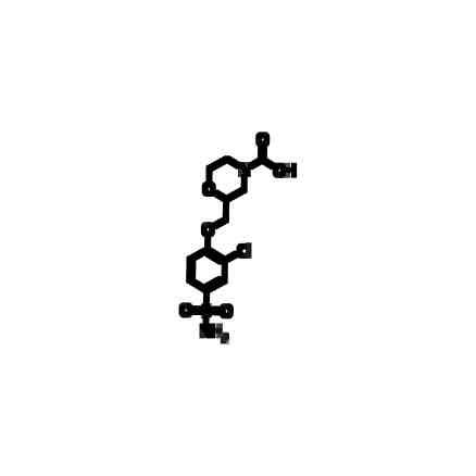 NS(=O)(=O)c1ccc(OCC2CN(C(=O)O)CCO2)c(Cl)c1